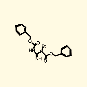 CCN(C(=N)NC(=O)OCc1ccccc1)C(=O)OCc1ccccc1